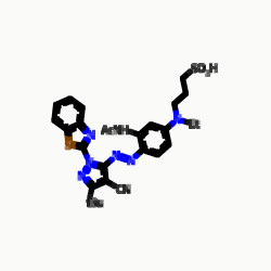 CCN(CCCS(=O)(=O)O)c1ccc(/N=N/c2c(C#N)c(C(C)(C)C)nn2-c2nc3ccccc3s2)c(NC(C)=O)c1